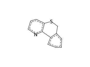 c1ccc2c(c1)CSc1cccnc1-2